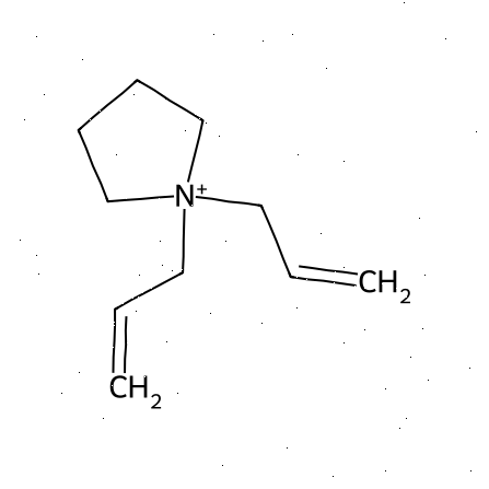 C=CC[N+]1(CC=C)CCCC1